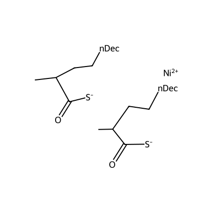 CCCCCCCCCCCCC(C)C(=O)[S-].CCCCCCCCCCCCC(C)C(=O)[S-].[Ni+2]